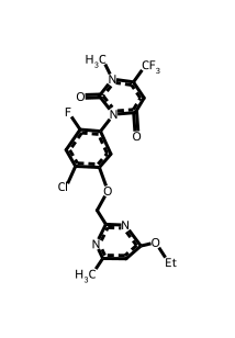 CCOc1cc(C)nc(COc2cc(-n3c(=O)cc(C(F)(F)F)n(C)c3=O)c(F)cc2Cl)n1